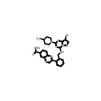 CNC(=O)c1ccc2nc(-c3ccccc3CNc3nc(N4CCC(N)CC4)nc4c(C(C)C)cnn34)cnc2c1